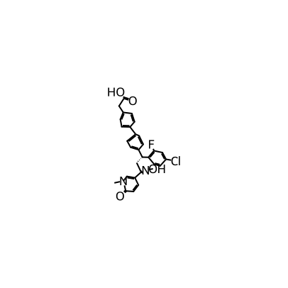 Cn1cc(/C(C[C@H](c2ccc(-c3ccc(CC(=O)O)cc3)cc2)c2ccc(Cl)cc2F)=N/O)ccc1=O